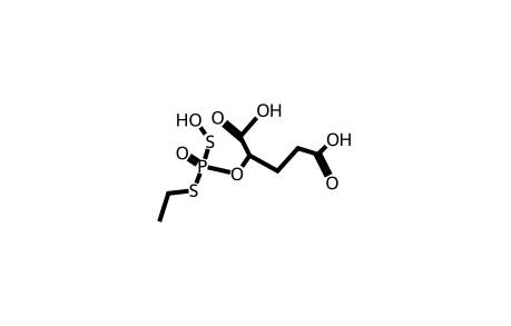 CCSP(=O)(OC(CCC(=O)O)C(=O)O)SO